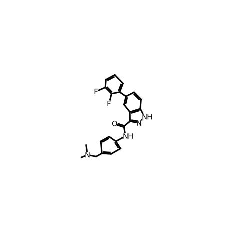 CN(C)Cc1ccc(NC(=O)c2n[nH]c3ccc(-c4cccc(F)c4F)cc23)cc1